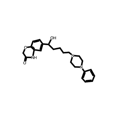 O=C1COc2ccc(C(O)CCCCN3CCN(c4ccccc4)CC3)cc2N1